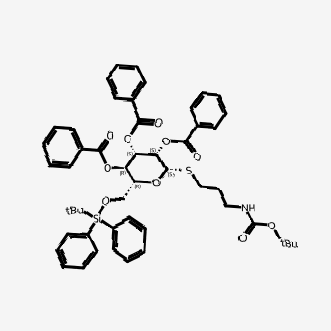 CC(C)(C)OC(=O)NCCCS[C@@H]1O[C@H](CO[Si](c2ccccc2)(c2ccccc2)C(C)(C)C)[C@@H](OC(=O)c2ccccc2)[C@H](OC(=O)c2ccccc2)[C@@H]1OC(=O)c1ccccc1